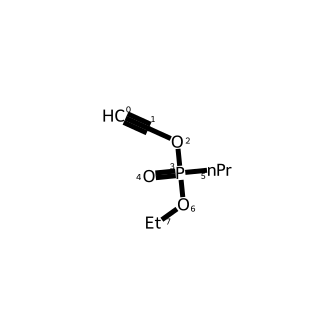 C#COP(=O)(CCC)OCC